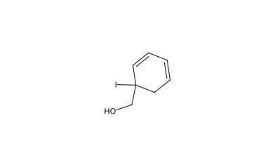 OCC1(I)C=CC=CC1